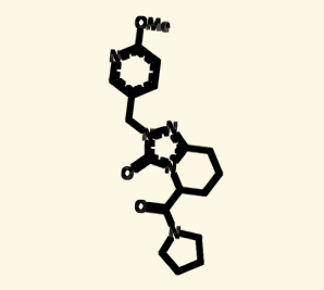 COc1ccc(Cn2nc3n(c2=O)C(C(=O)N2CCCC2)CCC3)cn1